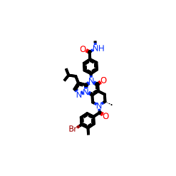 CNC(=O)c1ccc(-n2c(=O)c3c(n4ncc(CC(C)C)c24)CN(C(=O)c2ccc(Br)c(C)c2)[C@@H](C)C3)cc1